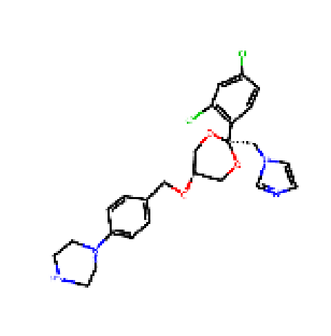 Clc1ccc([C@]2(Cn3ccnc3)OC[C@H](OCc3ccc(N4CCNCC4)cc3)CO2)c(Cl)c1